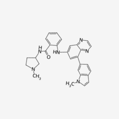 CN1CCC(NC(=O)c2ccccc2Nc2cc(-c3ccc4ccn(C)c4c3)c3nccnc3c2)C1